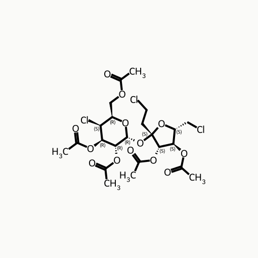 CC(=O)OC[C@H]1O[C@H](O[C@]2(CCCl)O[C@H](CCl)[C@@H](OC(C)=O)[C@@H]2OC(C)=O)[C@H](OC(C)=O)[C@@H](OC(C)=O)[C@H]1Cl